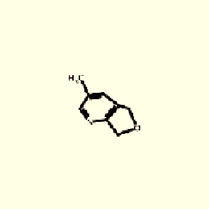 Cc1cnc2c(c1)COC2